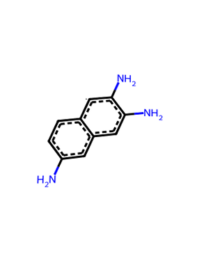 Nc1ccc2[c]c(N)c(N)cc2c1